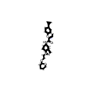 C/C=C(\Oc1ccc(C2CC2)cc1)C(=O)Nc1ccc2c(cnn2CCOC2CCCCO2)c1